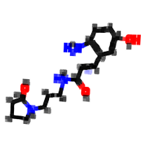 Nc1ccc(O)cc1/C=C/C(=O)NCCCN1CCCC1=O